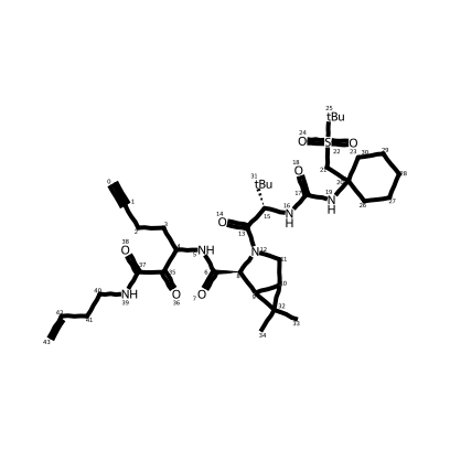 C#CCCC(NC(=O)[C@@H]1C2C(CN1C(=O)[C@@H](NC(=O)NC1(CS(=O)(=O)C(C)(C)C)CCCCC1)C(C)(C)C)C2(C)C)C(=O)C(=O)NCCC=C